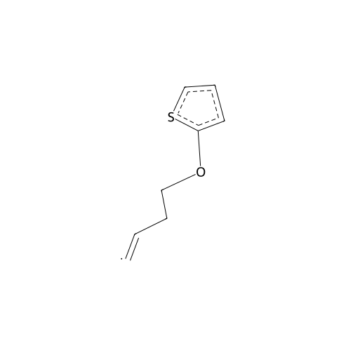 [CH]=CCCOc1cccs1